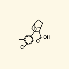 Cc1cc(C2CC3CCC(C2C(=O)O)N3C)ccc1Cl